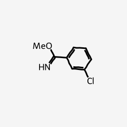 COC(=N)c1cccc(Cl)c1